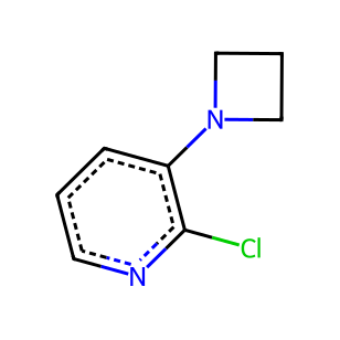 Clc1ncccc1N1CCC1